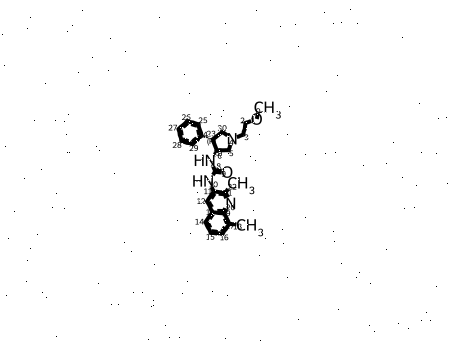 COCCN1C[C@@H](NC(=O)Nc2cc3cccc(C)c3nc2C)[C@H](c2ccccc2)C1